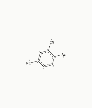 [CH2]C(=O)c1ccc(C#N)cc1C#N